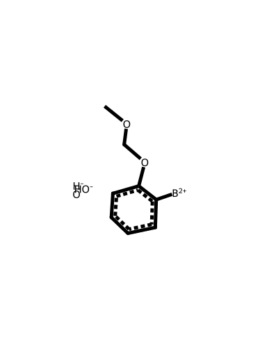 [B+2]c1ccccc1OCOC.[OH-].[OH-]